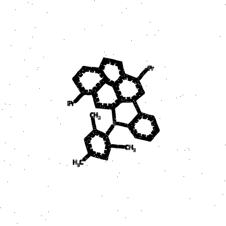 Cc1cc(C)c(B2c3ccccc3-c3cc(C(C)C)c4ccc5ccc(C(C)C)c6cc2c3c4c56)c(C)c1